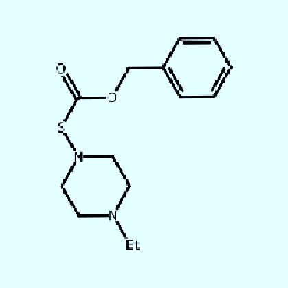 CCN1CCN(SC(=O)OCc2ccccc2)CC1